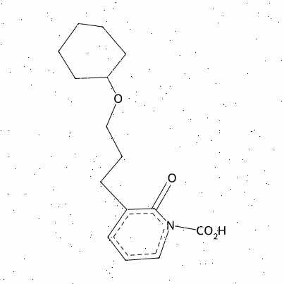 O=C(O)n1cccc(CCCOC2CCCCC2)c1=O